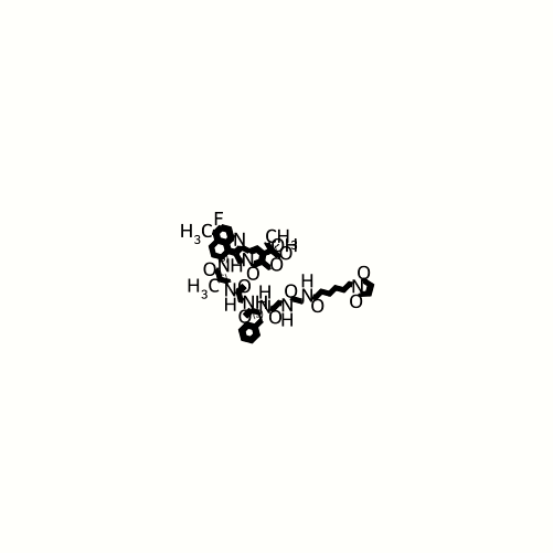 CC[C@@]1(O)C(=O)OCc2c1cc1n(c2=O)Cc2c-1nc1cc(F)c(C)c3c1c2[C@@H](NC(=O)[C@@H](C)CNC(=O)CNC(=O)[C@H](Cc1ccccc1)NC(=O)CNC(=O)CNC(=O)CCCCCN1C(=O)C=CC1=O)CC3